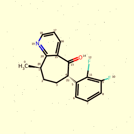 C[C@@H]1CC[C@@H](c2cccc(F)c2F)C(=O)c2cccnc21